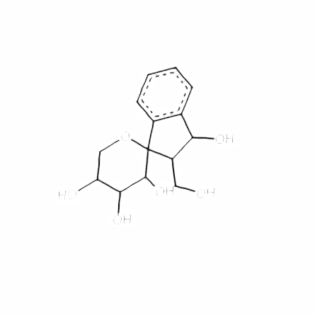 OCC1C(O)c2ccccc2C12OCC(O)C(O)C2O